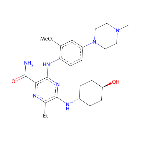 CCc1nc(C(N)=O)c(Nc2ccc(N3CCN(C)CC3)cc2OC)nc1N[C@H]1CC[C@H](O)CC1